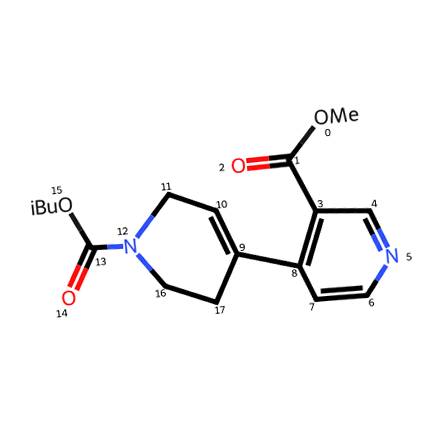 COC(=O)c1cnccc1C1=CCN(C(=O)OCC(C)C)CC1